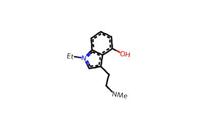 CCn1cc(CCNC)c2c(O)cccc21